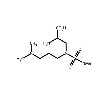 CNS(=O)(=O)N(CCCN(C)C)CC(N)C(=O)O